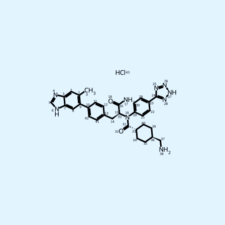 Cc1cc2nc[nH]c2cc1-c1ccc(C[C@@H](C(N)=O)N(c2ccc(-c3nn[nH]n3)cc2)C(=O)[C@H]2CC[C@H](CN)CC2)cc1.Cl